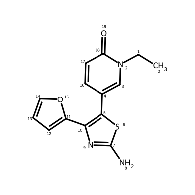 CCn1cc(-c2sc(N)nc2-c2ccco2)ccc1=O